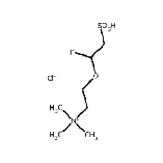 C[N+](C)(C)CCOC(F)CS(=O)(=O)O.[Cl-]